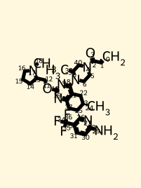 C=CC(=O)N1CCN(c2nc(OCC3CCCN3C)nc3c2C[C@@H](C)[C@H](c2nc(N)ccc2C(F)(F)F)C3)C(C)C1